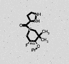 CC(C)O[C@@H]1[C@H](F)CN(C(=O)C2CCNN2)CC1(C)C